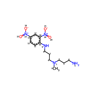 CN(CCCN)CCCNc1ccc([N+](=O)[O-])cc1[N+](=O)[O-]